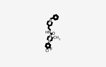 C[C@@H]1CN(c2ccc(Cl)c(F)c2)CCN1C(=O)NCCC1CCN(Cc2ccccc2)CC1